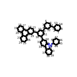 c1ccc(-c2cccc(-c3cc(-c4ccc5c6ccccc6c6ccccc6c5c4)cc(-c4ccc5c6ccccc6n(-c6ccccc6)c5c4)c3)c2)cc1